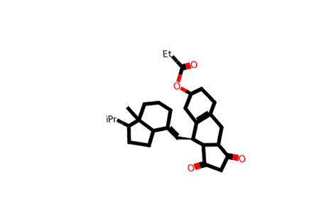 CCC(=O)OC1CCC2=C(C1)[C@H](/C=C1\CCCC3(C)C1CCC3C(C)C)C1C(=O)CC(=O)C1C2